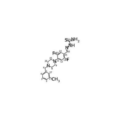 Cc1cccc(CN2CCN(c3cc(F)c(/C=N/NC(N)=S)cc3F)CC2)c1